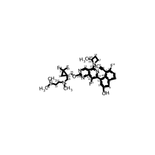 C#Cc1c(F)ccc2cc(O)cc(-c3nc(N4CC[C@@H]4C)c4cnc(OC[C@]5(CN(C)CCN(C)C)CC5(F)F)nc4c3F)c12